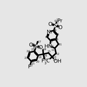 CC(C)S(=O)(=O)c1cc2c(cn1)NC(CC(O)(CC(C)(C)c1cc(F)ccc1S(C)(=O)=O)C(F)(F)F)C2